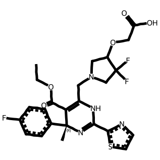 CCOC(=O)C1=C(CN2CC(OCC(=O)O)C(F)(F)C2)NC(c2nccs2)=N[C@]1(C)c1ccc(F)cc1